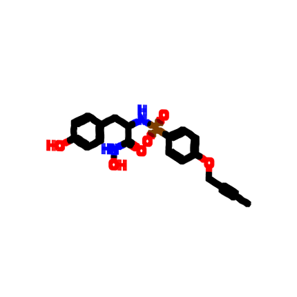 CC#CCOc1ccc(S(=O)(=O)NC(Cc2ccc(O)cc2)C(=O)NO)cc1